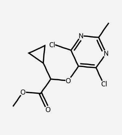 COC(=O)C(Oc1c(Cl)nc(C)nc1Cl)C1CC1